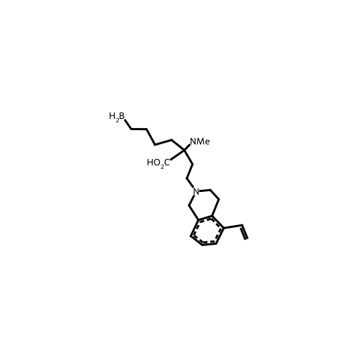 BCCCCC(CCN1CCc2c(C=C)cccc2C1)(NC)C(=O)O